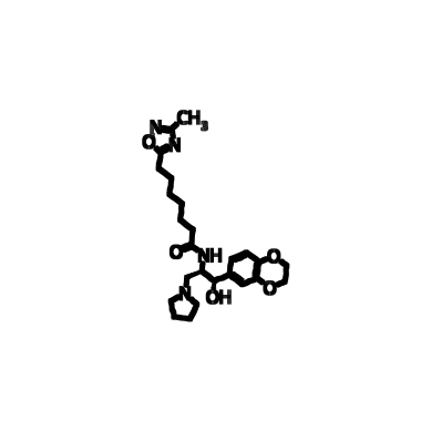 Cc1noc(CCCCCCC(=O)N[C@H](CN2CCCC2)[C@H](O)c2ccc3c(c2)OCCO3)n1